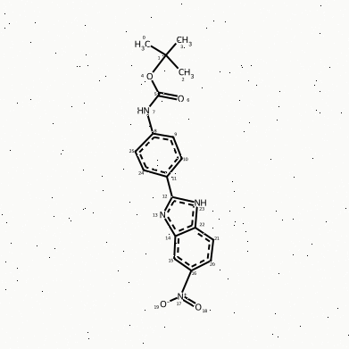 CC(C)(C)OC(=O)Nc1ccc(-c2nc3cc([N+](=O)[O-])ccc3[nH]2)cc1